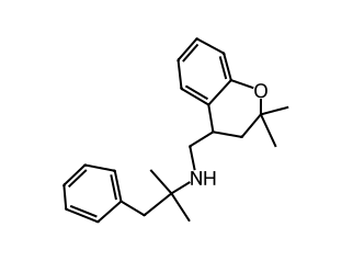 CC(C)(Cc1ccccc1)NCC1CC(C)(C)Oc2ccccc21